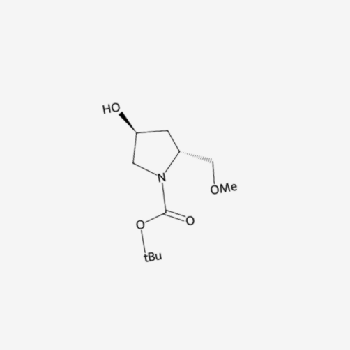 COC[C@H]1C[C@H](O)CN1C(=O)OC(C)(C)C